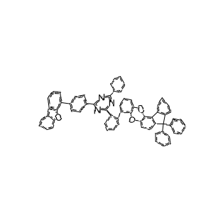 c1ccc(-c2nc(-c3ccc(-c4cccc5c4oc4ccccc45)cc3)nc(-c3ccccc3-c3cccc4c3Oc3ccc5c(c3O4)-c3ccccc3C5(c3ccccc3)c3ccccc3)n2)cc1